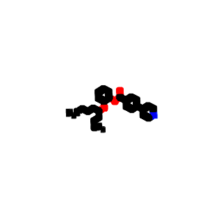 CCCCC(CCC)Oc1ccccc1OC(=O)c1ccc(-c2ccncc2)cc1